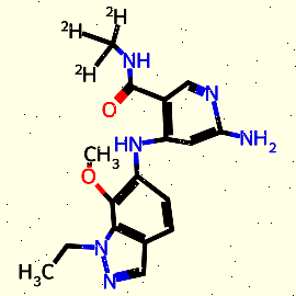 [2H]C([2H])([2H])NC(=O)c1cnc(N)cc1Nc1ccc2cnn(CC)c2c1OC